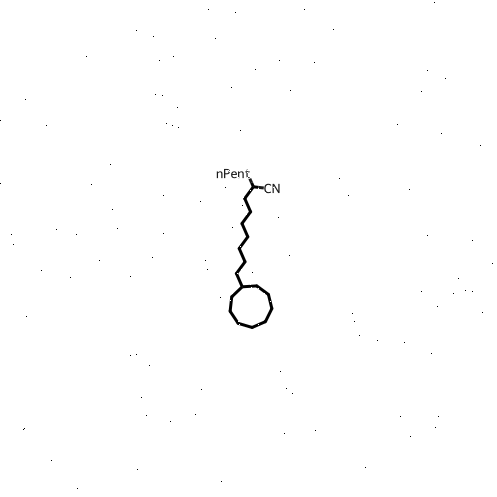 CCCCCC(C#N)CCCCCCCC1CCCCCCCC1